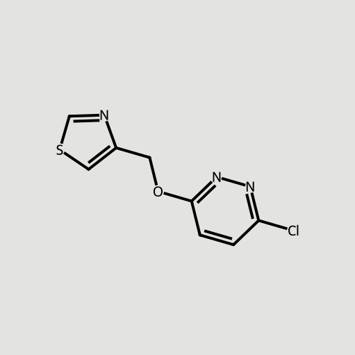 Clc1ccc(OCc2cscn2)nn1